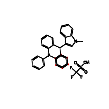 Cn1cc(C(c2ccccc2)c2ccccc2P(c2ccccc2)c2ccccc2)c2ccccc21.O=S(=O)(O)C(F)(F)F